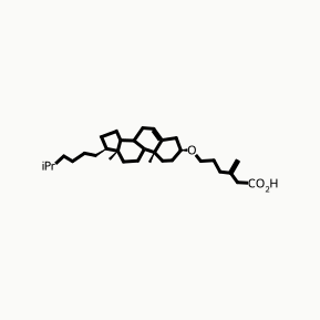 C=C(CCCO[C@H]1CC[C@@]2(C)C(=CCC3C2CC[C@@]2(C)C3CC[C@@H]2CCCCC(C)C)C1)CC(=O)O